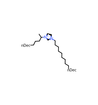 CCCCCCCCCCCCCCCCCCCn1cc[n+](C(C)CCCCCCCCCCCCC)c1